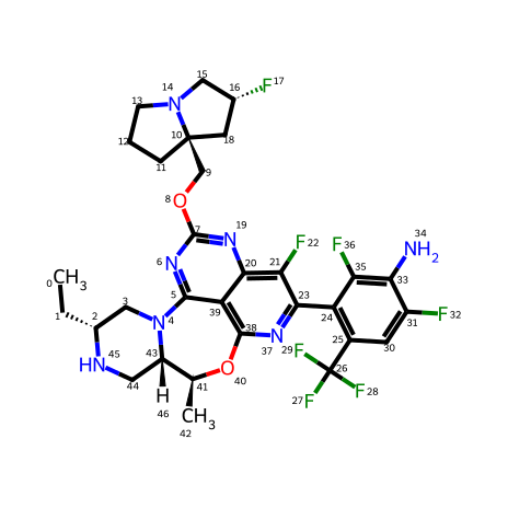 CC[C@@H]1CN2c3nc(OC[C@@]45CCCN4C[C@H](F)C5)nc4c(F)c(-c5c(C(F)(F)F)cc(F)c(N)c5F)nc(c34)O[C@@H](C)[C@@H]2CN1